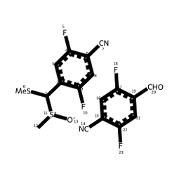 CSC(c1cc(F)c(C#N)cc1F)[S+](C)[O-].N#Cc1cc(F)c(C=O)cc1F